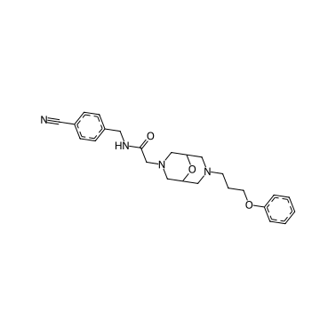 N#Cc1ccc(CNC(=O)CN2CC3CN(CCCOc4ccccc4)CC(C2)O3)cc1